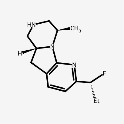 CC[C@@H](F)c1ccc2c(n1)N1[C@@H](CNC[C@H]1C)C2